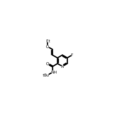 CCOC=Cc1cc(F)cnc1C(=O)NC(C)(C)C